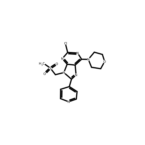 CS(=O)(=O)Cn1c(-c2ccncc2)nc2c(N3CCOCC3)nc(Cl)nc21